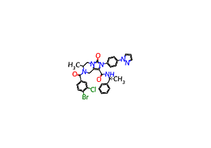 CC1Cn2c(c(C(=O)N[C@H](C)c3ccccc3)n(-c3ccc(-n4cccn4)cc3)c2=O)CN1C(=O)c1ccc(Br)c(Cl)c1